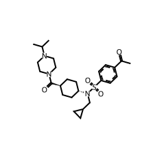 CC(=O)c1ccc(S(=O)(=O)N(CC2CC2)[C@H]2CC[C@H](C(=O)N3CCN(C(C)C)CC3)CC2)cc1